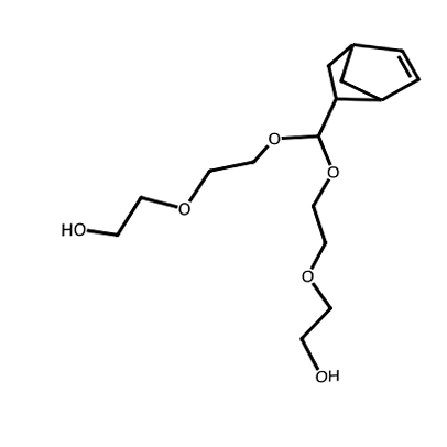 OCCOCCOC(OCCOCCO)C1CC2C=CC1C2